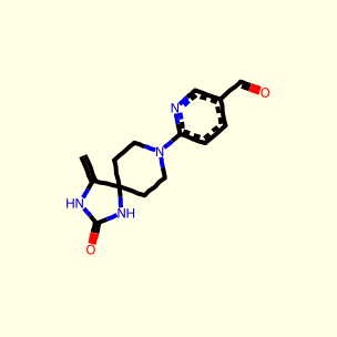 C=C1NC(=O)NC12CCN(c1ccc(C=O)cn1)CC2